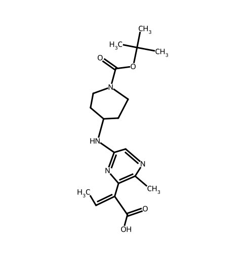 C/C=C(/C(=O)O)c1nc(NC2CCN(C(=O)OC(C)(C)C)CC2)cnc1C